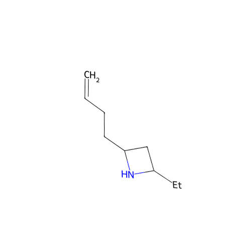 C=CCCC1CC(CC)N1